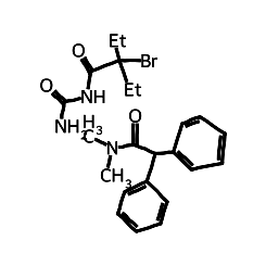 CCC(Br)(CC)C(=O)NC(N)=O.CN(C)C(=O)C(c1ccccc1)c1ccccc1